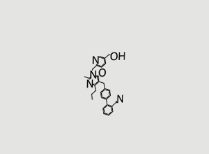 CCCc1nc(C)n(Cc2ccc(CO)cn2)c(=O)c1Cc1ccc(-c2ccccc2C#N)cc1